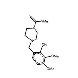 COc1ccc(CN2CCN(C(=S)SC)CC2)c(O)c1OC